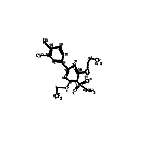 NS(=O)(=O)c1c(OCC(F)(F)F)nc(-c2ccc(I)c(Cl)c2)nc1OCC(F)(F)F